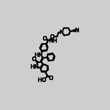 N#CC1CCN(CCONC(=O)c2ccc(N/C(=C3\C(=O)Nc4cc(C(=O)O)ccc43)c3ccccc3)cc2)CC1